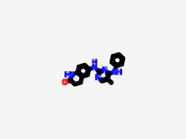 Cc1cnc(Nc2ccc3c(c2)CCC(=O)N3)nc1Nc1ccccc1